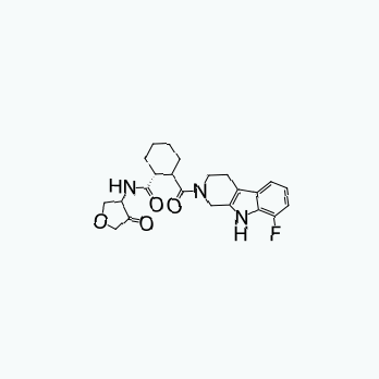 O=C1COCC1NC(=O)[C@@H]1CCCCC1C(=O)N1CCc2c([nH]c3c(F)cccc23)C1